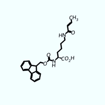 C/C=C/C(=O)NCCCC[C@H](NC(=O)OCC1c2ccccc2-c2ccccc21)C(=O)O